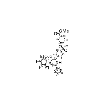 CCOC(=O)C1=C(C2CCN(S(=O)(=O)C[C@H]3CC[C@H](C(=O)OC)CC3)CC2)NC(c2nccs2)=NC1c1ccc(F)c(F)c1Cl